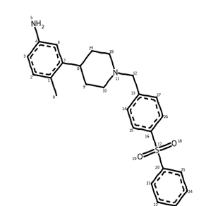 Cc1ccc(N)cc1C1CCN(Cc2ccc(S(=O)(=O)c3ccccc3)cc2)CC1